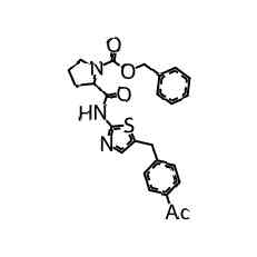 CC(=O)c1ccc(Cc2cnc(NC(=O)C3CCCN3C(=O)OCc3ccccc3)s2)cc1